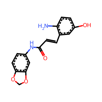 Nc1ccc(O)cc1C=CC(=O)Nc1ccc2c(c1)OCO2